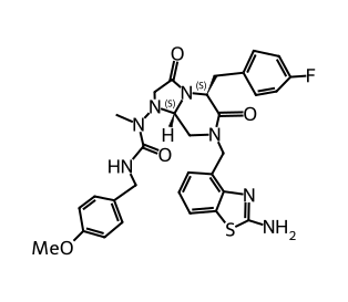 COc1ccc(CNC(=O)N(C)N2CC(=O)N3[C@@H](Cc4ccc(F)cc4)C(=O)N(Cc4cccc5sc(N)nc45)C[C@@H]32)cc1